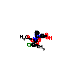 COCCOc1nn(C(Cc2ccccc2)C(=O)Nc2ccc(C(=O)O)cc2)c(=O)cc1-c1cc(Cl)ccc1C(C)=O